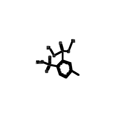 CCOP(=O)(OCC)c1cc(C)ccc1S(=O)(=O)OC